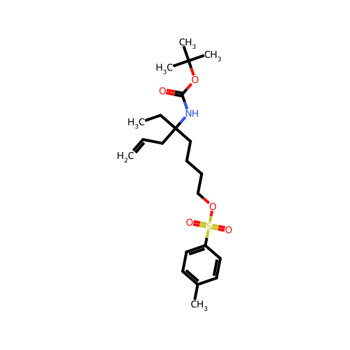 C=CCC(CC)(CCCCOS(=O)(=O)c1ccc(C)cc1)NC(=O)OC(C)(C)C